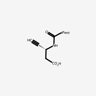 C#C[C@@H](CC(=O)O)NC(=O)C(C)CCC